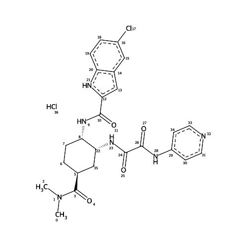 CN(C)C(=O)[C@H]1CC[C@H](NC(=O)c2cc3cc(Cl)ccc3[nH]2)[C@H](NC(=O)C(=O)Nc2ccncc2)C1.Cl